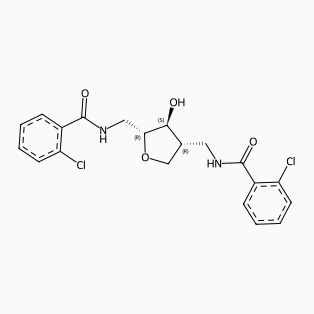 O=C(NC[C@@H]1CO[C@H](CNC(=O)c2ccccc2Cl)[C@H]1O)c1ccccc1Cl